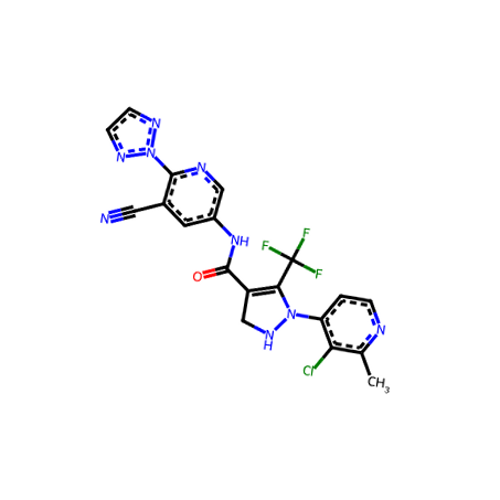 Cc1nccc(N2NCC(C(=O)Nc3cnc(-n4nccn4)c(C#N)c3)=C2C(F)(F)F)c1Cl